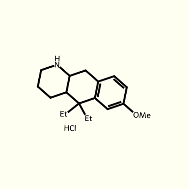 CCC1(CC)c2cc(OC)ccc2CC2NCCCC21.Cl